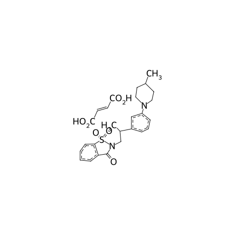 CC1CCN(c2cccc(C(C)CN3C(=O)c4ccccc4S3(=O)=O)c2)CC1.O=C(O)C=CC(=O)O